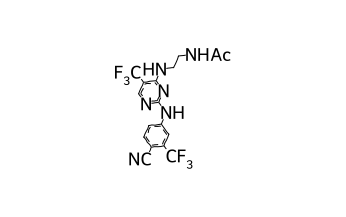 CC(=O)NCCNc1nc(Nc2ccc(C#N)c(C(F)(F)F)c2)ncc1C(F)(F)F